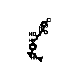 O=C(NCC(O)CNc1ccc(C2(CNC3CC3)CC2)cc1)c1ccc(Cl)s1